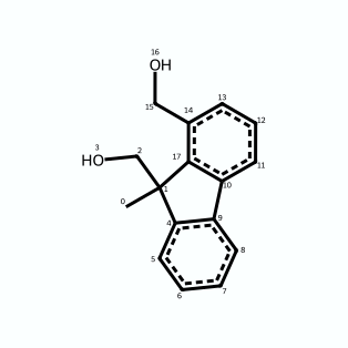 CC1(CO)c2ccccc2-c2cccc(CO)c21